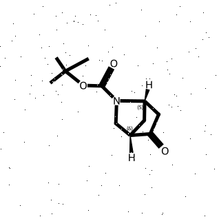 CC(C)(C)OC(=O)N1C[C@@H]2C[C@H]1CC2=O